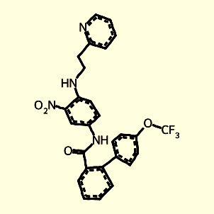 O=C(Nc1ccc(NCCc2ccccn2)c([N+](=O)[O-])c1)c1ccccc1-c1ccc(OC(F)(F)F)cc1